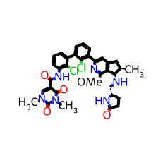 COc1nc(-c2cccc(-c3cccc(NC(=O)c4cn(C)c(=O)n(C)c4=O)c3Cl)c2Cl)cc2c1[C@@H](NC[C@@H]1CCC(=O)N1)[C@H](C)C2